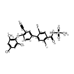 Cc1cc(Cl)cc(Cl)c1Oc1ncc(-c2cc(F)c(C(=O)NS(C)(=O)=O)cc2F)cc1C#N